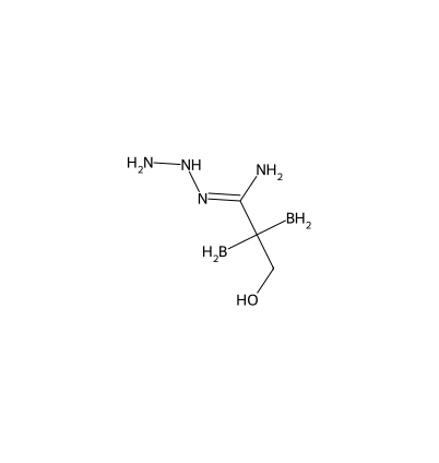 BC(B)(CO)/C(N)=N/NN